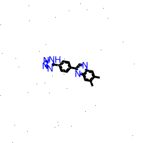 Cc1cc2ncc(-c3ccc(-c4nnn[nH]4)cc3)nc2cc1C